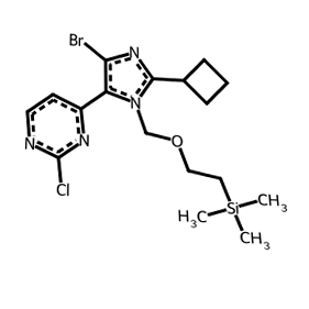 C[Si](C)(C)CCOCn1c(C2CCC2)nc(Br)c1-c1ccnc(Cl)n1